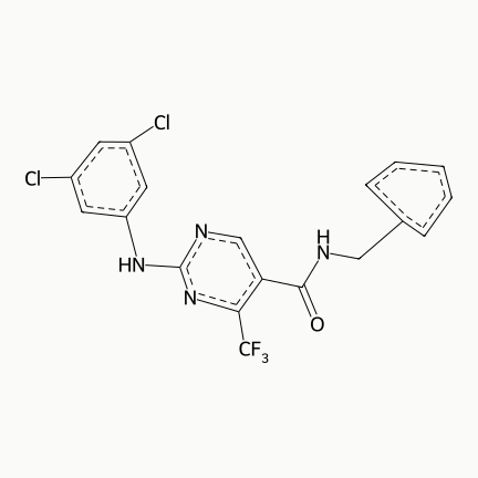 O=C(NCc1ccccc1)c1cnc(Nc2cc(Cl)cc(Cl)c2)nc1C(F)(F)F